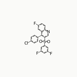 O=S(=O)(c1cc(F)cc(F)c1)c1cnc2ccc(F)cc2c1-c1ccc(Cl)cc1